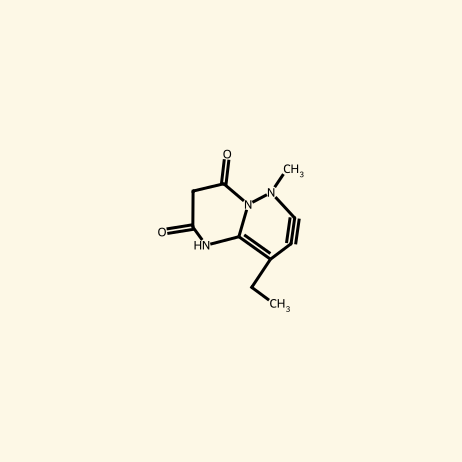 CCC1=C2NC(=O)CC(=O)N2N(C)C#C1